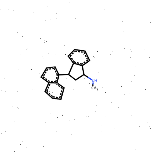 CNC1CC(c2cccc3ccccc23)c2ccccc21